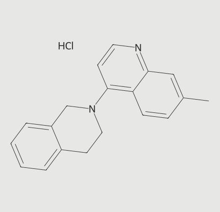 Cc1ccc2c(N3CCc4ccccc4C3)ccnc2c1.Cl